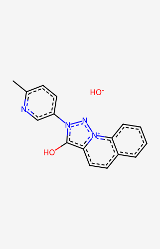 Cc1ccc(-n2n[n+]3c(ccc4ccccc43)c2O)cn1.[OH-]